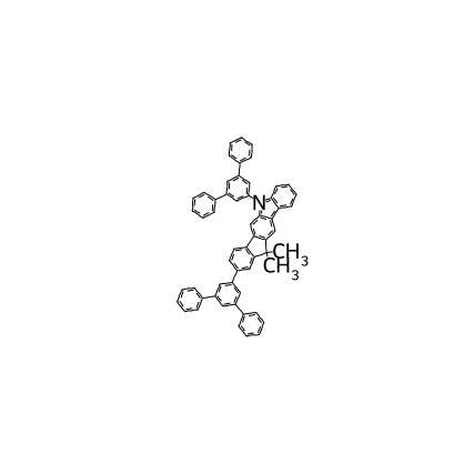 CC1(C)c2cc(-c3cc(-c4ccccc4)cc(-c4ccccc4)c3)ccc2-c2cc3c(cc21)c1ccccc1n3-c1cc(-c2ccccc2)cc(-c2ccccc2)c1